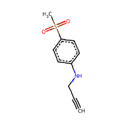 C#CCNc1ccc(S(C)(=O)=O)cc1